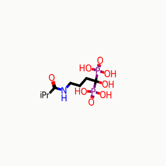 CC(C)C(=O)NCCCC(O)(P(=O)(O)O)P(=O)(O)O